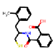 Cc1ccccc1CC(CS)NC(=O)c1ccccc1C(=O)O